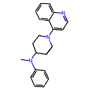 CN(c1ccccc1)C1CCN(c2ccnc3ccccc23)CC1